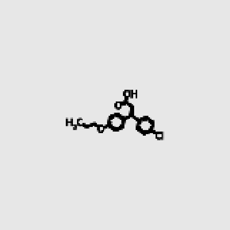 CCCOc1ccc(/C(=C\C(=O)O)c2ccc(Cl)cc2)cc1